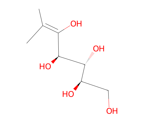 CC(C)=C(O)[C@H](O)[C@H](O)[C@H](O)CO